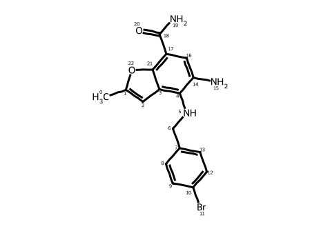 Cc1cc2c(NCc3ccc(Br)cc3)c(N)cc(C(N)=O)c2o1